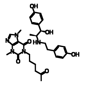 CC(=O)CCCCn1c(=O)c2c(ncn2C)n(C)c1=O.C[C@H](NCCc1ccc(O)cc1)[C@H](O)c1ccc(O)cc1